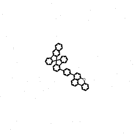 c1ccc2c(c1)Oc1ccc(-c3ccc(-c4cccc5c4-c4ccccc4C54c5ccccc5-c5cc6ccccc6cc54)cc3)c3cccc-2c13